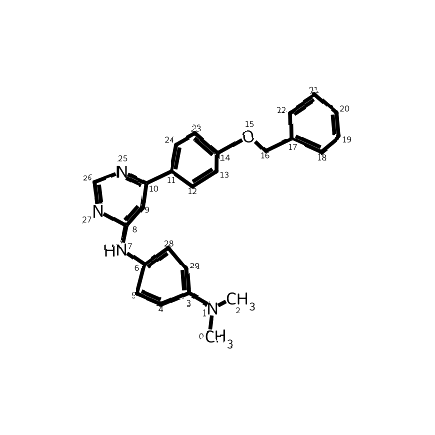 CN(C)c1ccc(Nc2cc(-c3ccc(OCc4ccccc4)cc3)ncn2)cc1